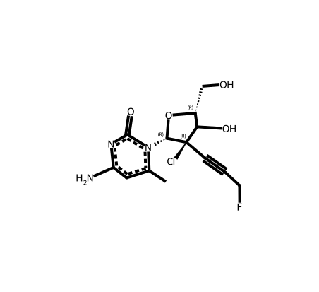 Cc1cc(N)nc(=O)n1[C@@H]1O[C@H](CO)C(O)[C@]1(Cl)C#CCF